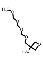 COCOCOCOCC1(C)COC1